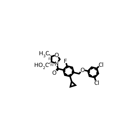 C[C@@H]1OCN(C(=O)c2cc(C3CC3)c(COc3cc(Cl)cc(Cl)c3)cc2F)[C@@H]1C(=O)O